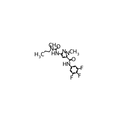 CCCN(C)C(=O)Nc1cc(C(=O)Nc2cc(F)c(F)c(F)c2)n(C)n1